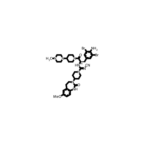 COc1ccc2c(c1)CCN(C1CCN(C(=NC#N)N[C@H](Cc3cc(Br)c(N)c(Br)c3)C(=O)N3CCC(N4CCN(C)CC4)CC3)CC1)C(=O)N2